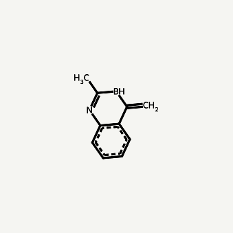 C=C1BC(C)=Nc2ccccc21